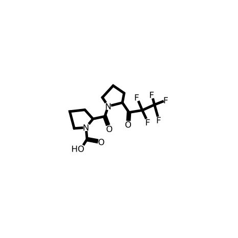 O=C(O)N1CCCC1C(=O)N1CCCC1C(=O)C(F)(F)C(F)(F)F